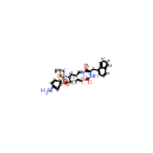 COCCOC(=O)NC(Cc1cccc2ccccc12)C(=O)NCCCC(CO)N(CC(C)C)S(=O)(=O)c1ccc(N)cc1